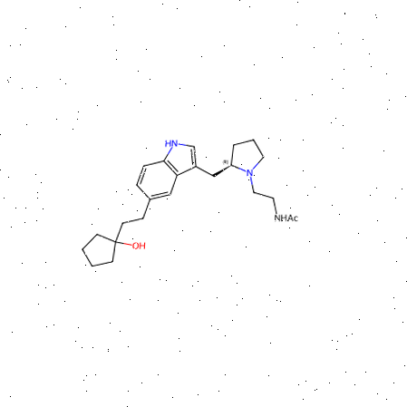 CC(=O)NCCN1CCC[C@@H]1Cc1c[nH]c2ccc(CCC3(O)CCCC3)cc12